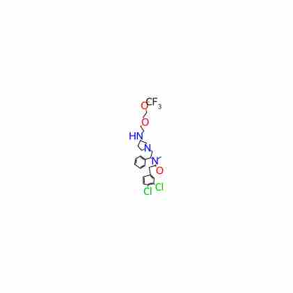 CN(C(=O)Cc1ccc(Cl)c(Cl)c1)C(CN1CCC(NCCOCCOC(F)(F)F)C1)c1ccccc1